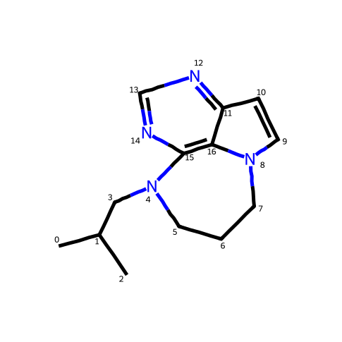 CC(C)CN1CCCn2ccc3ncnc1c32